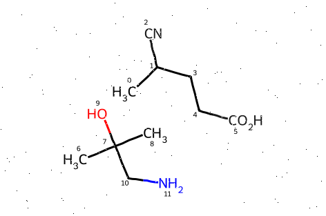 CC(C#N)CCC(=O)O.CC(C)(O)CN